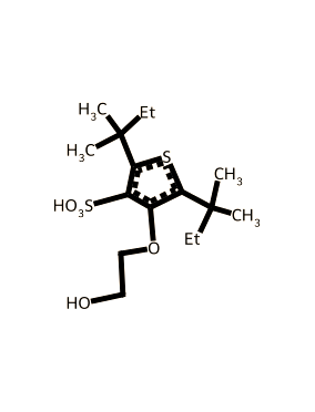 CCC(C)(C)c1sc(C(C)(C)CC)c(S(=O)(=O)O)c1OCCO